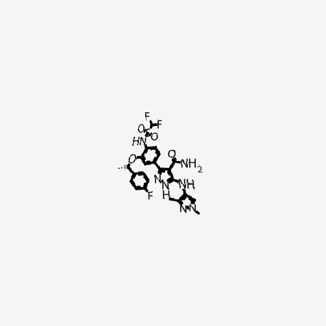 Cc1nn(C)cc1Nc1[nH]nc(-c2ccc(NS(=O)(=O)C(F)F)c(O[C@@H](C)c3ccc(F)cc3)c2)c1C(N)=O